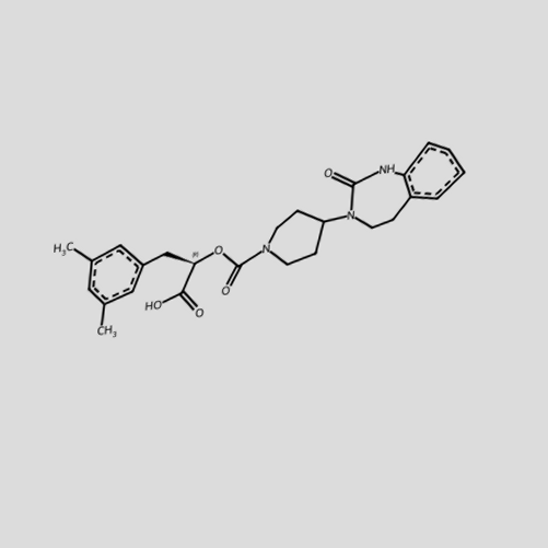 Cc1cc(C)cc(C[C@@H](OC(=O)N2CCC(N3CCc4ccccc4NC3=O)CC2)C(=O)O)c1